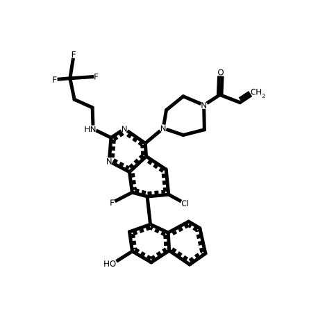 C=CC(=O)N1CCN(c2nc(NCCC(F)(F)F)nc3c(F)c(-c4cc(O)cc5ccccc45)c(Cl)cc23)CC1